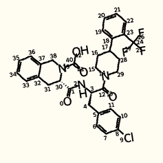 O=C(N[C@H](Cc1ccc(Cl)cc1)C(=O)N1CCC(c2ccccc2C(F)(F)F)CC1)[C@@H]1Cc2ccccc2CN1C(=O)O